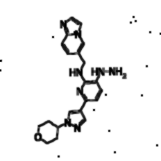 NNc1ccc(-c2cnn(C3CCOCC3)c2)nc1NCc1ccc2nccn2c1